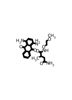 COCCONC(=O)C(C)CC(N)=O.Nc1ccc(N)c2c1C(=O)c1ccccc1C2=O